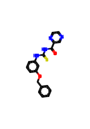 O=C(NC(=S)Nc1cccc(OCc2ccccc2)c1)c1cnccn1